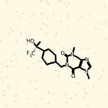 Cn1cnc2c1c(=O)n(CC1CCC([C@](C)(O)C(F)(F)F)CC1)c(=O)n2C